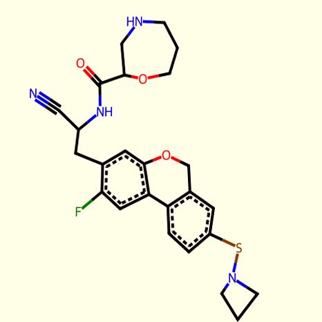 N#CC(Cc1cc2c(cc1F)-c1ccc(SN3CCC3)cc1CO2)NC(=O)C1CNCCCO1